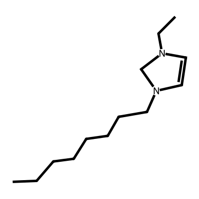 CCCCCCCCN1C=CN(CC)C1